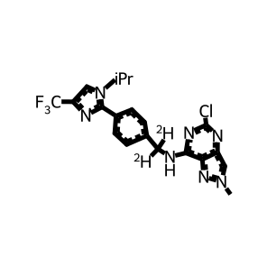 [2H]C([2H])(Nc1nc(Cl)nc2cn(C)nc12)c1ccc(-c2nc(C(F)(F)F)cn2C(C)C)cc1